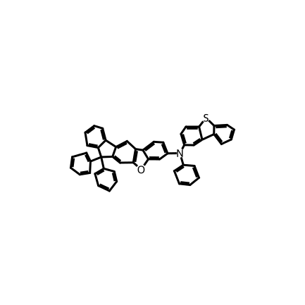 c1ccc(N(c2ccc3c(c2)oc2cc4c(cc23)-c2ccccc2C4(c2ccccc2)c2ccccc2)c2ccc3sc4ccccc4c3c2)cc1